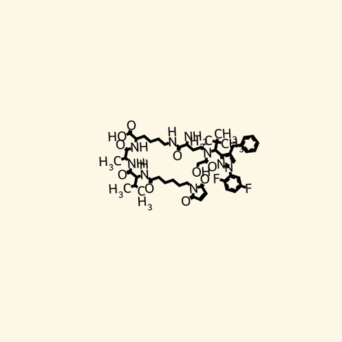 CC(NC(=O)C(NC(=O)CCCCCN1C(=O)C=CC1=O)C(C)C)C(=O)NC(CCCCNC(=O)C(N)CCN(C(=O)CO)C(c1nn(-c2cc(F)ccc2F)cc1Cc1ccccc1)C(C)(C)C)C(=O)O